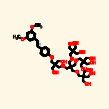 COc1cc(/C=C/c2ccc(OCC(CO)(CO)COCC(COCC(CO)(CO)CO)(COCC(CO)(CO)CO)COCC(CO)(CO)CO)cc2)cc(OC)c1